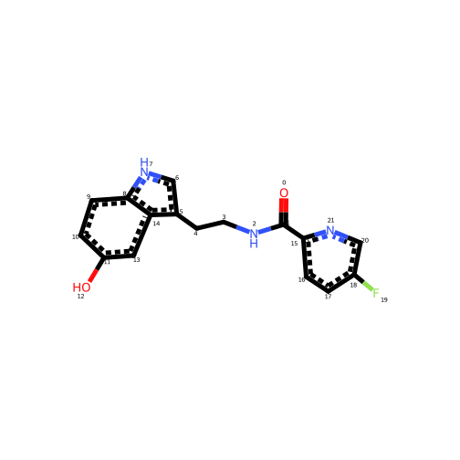 O=C(NCCc1c[nH]c2ccc(O)cc12)c1ccc(F)cn1